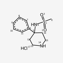 CS(=O)(=O)NC1(c2ccccc2)CCNCC1.Cl